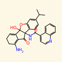 CC(C)c1ccc2c(c1)OC1(O)C3=CCCC(N)=C3C(=O)C21NC(=O)c1ccnc2ccccc12